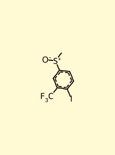 C[S+]([O-])c1ccc(I)c(C(F)(F)F)c1